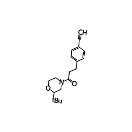 C#Cc1ccc(CCC(=O)N2CCOC(C(C)(C)C)C2)cc1